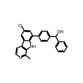 Cc1nccc2c1[nH]c1c(-c3ccc(C(O)c4ccccc4)cc3)cc(Cl)cc12